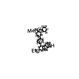 CCOc1cc(-c2cnc(N3CCC(Cc4ccccc4)(NC)CC3)cn2)c2c3cn[nH]c3nn2c1